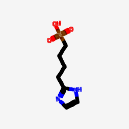 O=S(=O)(O)CCCCc1ncc[nH]1